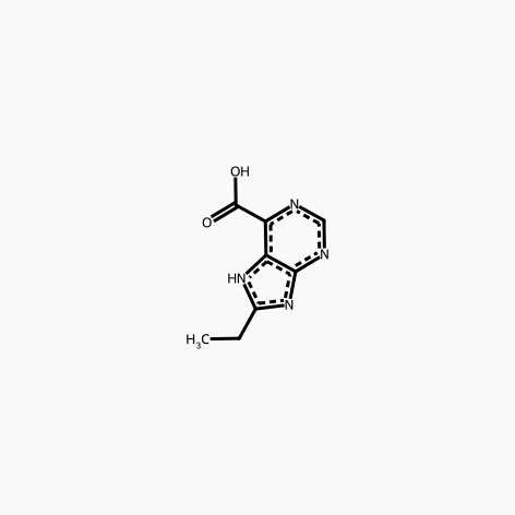 CCc1nc2ncnc(C(=O)O)c2[nH]1